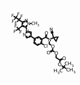 Cn1nc(C(F)(F)C(F)(F)F)c(C(F)(F)F)c1-n1cc(-c2ccc(Cl)c(C(=O)N(COC(=O)OCC(=O)OC(C)(C)C)C3(C#N)CC3)c2)cn1